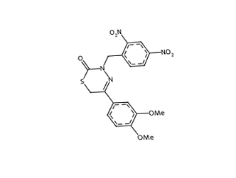 COc1ccc(C2=NN(Cc3ccc([N+](=O)[O-])cc3[N+](=O)[O-])C(=O)SC2)cc1OC